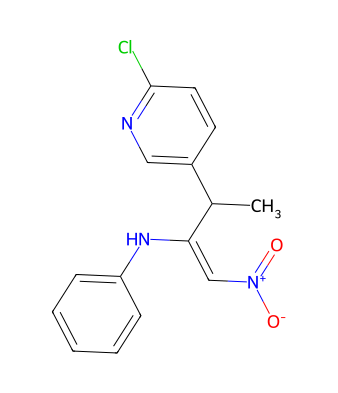 CC(C(=C[N+](=O)[O-])Nc1ccccc1)c1ccc(Cl)nc1